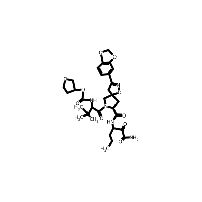 CCCC(NC(=O)C1CC2(CC(c3ccc4c(c3)OCO4)=NO2)CN1C(=O)C(NC(=O)OC1CCOC1)C(C)(C)C)C(=O)C(N)=O